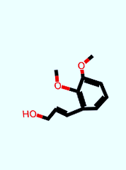 COc1cccc(C=CCO)c1OC